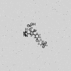 CS(=O)(=O)N1CCC(Oc2cccc(-c3sc(-c4nnn[nH]4)c(OCC(=O)O)c3Br)c2)CC1